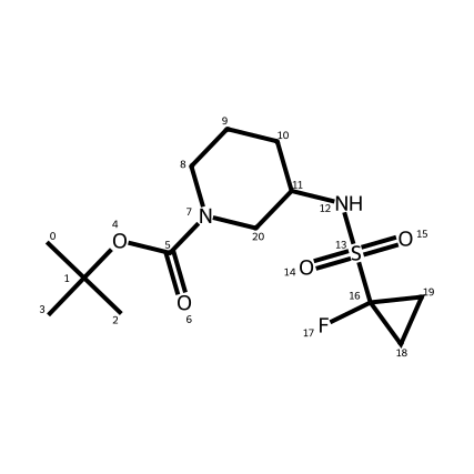 CC(C)(C)OC(=O)N1CCCC(NS(=O)(=O)C2(F)CC2)C1